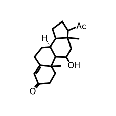 CC(=O)C1CCC2[C@@H]3CCC4=CC(=O)CCC4(C)C3C(O)CC12C